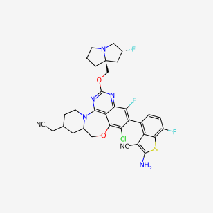 N#CCC1CCN2c3nc(OC[C@@]45CCCN4C[C@H](F)C5)nc4c(F)c(-c5ccc(F)c6sc(N)c(C#N)c56)c(Cl)c(c34)OCC2C1